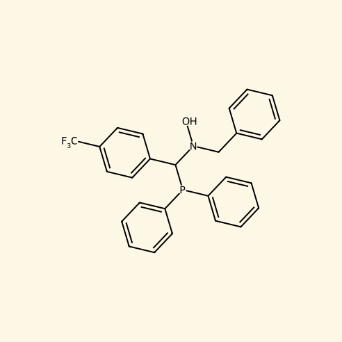 ON(Cc1ccccc1)C(c1ccc(C(F)(F)F)cc1)P(c1ccccc1)c1ccccc1